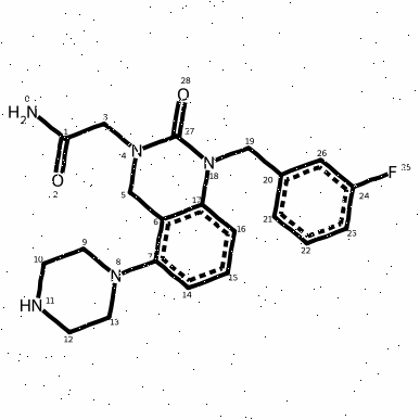 NC(=O)CN1Cc2c(N3CCNCC3)cccc2N(Cc2cccc(F)c2)C1=O